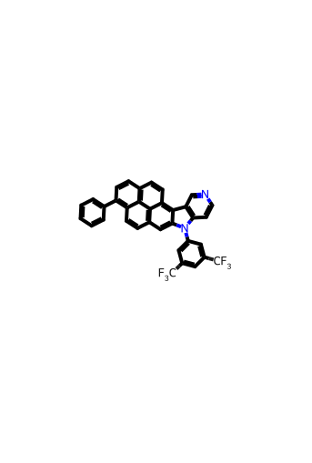 FC(F)(F)c1cc(-n2c3ccncc3c3c4ccc5ccc(-c6ccccc6)c6ccc(cc32)c4c56)cc(C(F)(F)F)c1